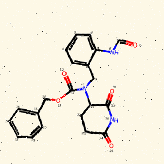 O=CNc1ccccc1CN(C(=O)OCc1ccccc1)C1CCC(=O)NC1=O